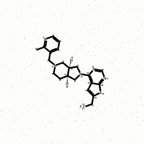 Cc1ncccc1CN1CC[C@@H]2CN(c3ncnc4sc(CC(F)(F)F)cc34)C[C@@H]2C1